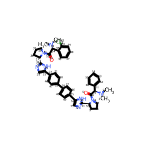 CN(C)[C@@H](C(=O)N1CCC[C@H]1c1ncc(-c2ccc(-c3ccc(-c4cnc([C@@H]5CCCN5C(=O)[C@@H](c5ccccc5Cl)N(C)C)[nH]4)cc3)cc2)[nH]1)c1ccccc1